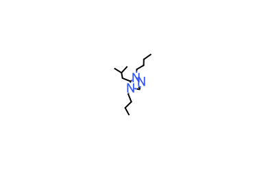 CCCCN1C=NN(CCCC)C1CC(C)C